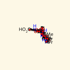 CC[C@H](C)[C@@H]([C@@H](CC(=O)N1CCC[C@H]1[C@H](OC)[C@@H](C)C(=O)N[C@@H](Cc1ccc(OC(=O)NCCCCCC(=O)O)cc1)C(=O)NS(=O)(=O)C1CC1)OC)N(C)C(=O)[C@@H](NC(=O)C(C(C)C)N(C)C)C(C)C